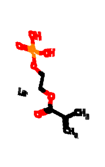 C=C(C)C(=O)OCCOP(=O)(O)O.[La]